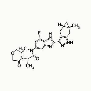 C[C@@H](C(=O)N(C)c1cc(F)c2[nH]c(-c3n[nH]c4c3C[C@@H]3C[C@]3(C)C4)nc2c1)N1CCOCC1=O